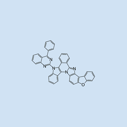 c1ccc(-c2nc(-n3c4ccccc4c4c3c3ccccc3c3nc5c6c(ccc5n34)oc3ccccc36)nc3ccccc23)cc1